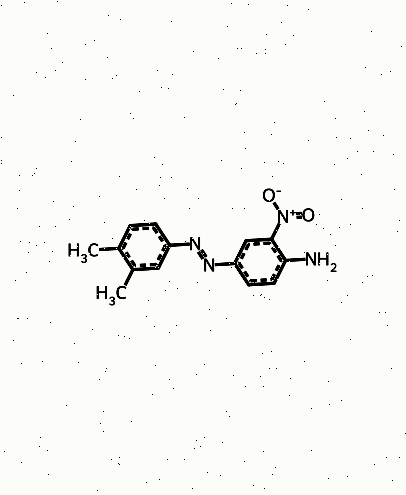 Cc1ccc(N=Nc2ccc(N)c([N+](=O)[O-])c2)cc1C